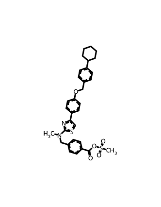 CN(Cc1ccc(C(=O)OS(C)(=O)=O)cc1)c1nc(-c2ccc(OCc3ccc(C4CCCCC4)cc3)cc2)cs1